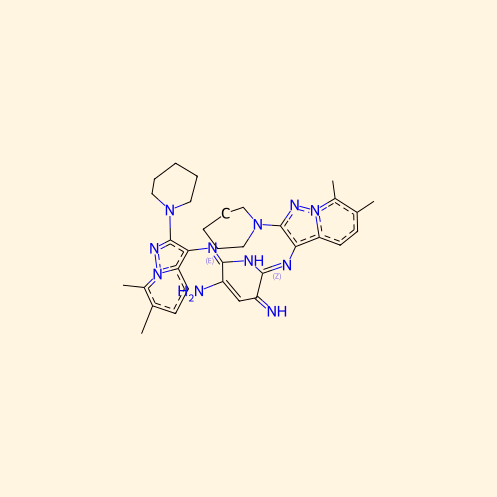 Cc1ccc2c(/N=C3\N/C(=N/c4c(N5CCCCC5)nn5c(C)c(C)ccc45)C(N)=CC3=N)c(N3CCCCC3)nn2c1C